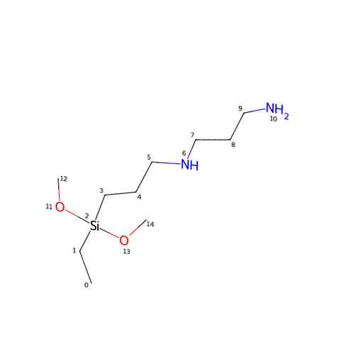 CC[Si](CCCNCCCN)(OC)OC